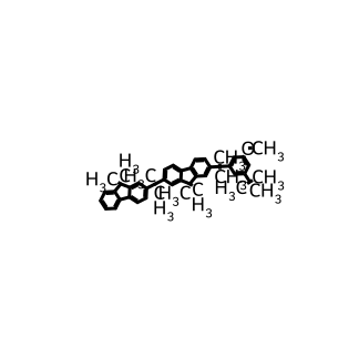 COc1cc(C(C)(C)C)cc(C(C)(C)c2ccc3c(c2)C(C)(C)c2cc(C(C)(C)c4ccc5c(c4)C(C)(C)c4ccccc4-5)ccc2-3)c1